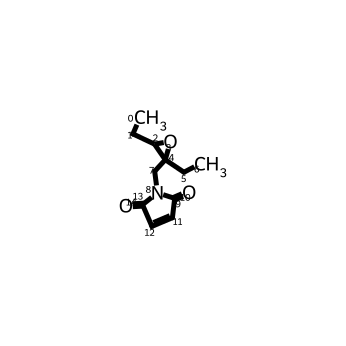 CCC1OC1(CC)CN1C(=O)C=CC1=O